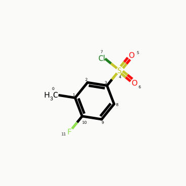 Cc1cc(S(=O)(=O)Cl)ccc1F